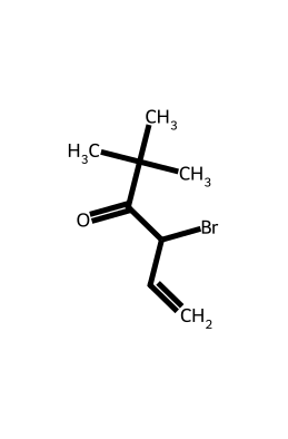 C=CC(Br)C(=O)C(C)(C)C